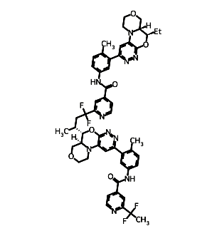 CC[C@H]1Oc2nnc(-c3cc(NC(=O)c4ccnc(C(F)(F)CC(C)[C@@H]5Oc6nnc(-c7cc(NC(=O)c8ccnc(C(C)(F)F)c8)ccc7C)cc6N6CCOC[C@@H]56)c4)ccc3C)cc2N2CCOC[C@H]12